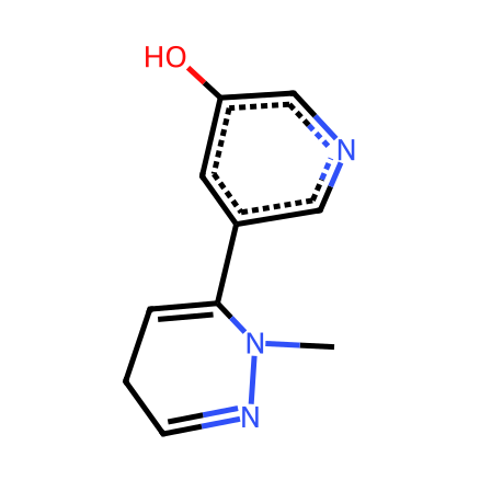 CN1N=CCC=C1c1cncc(O)c1